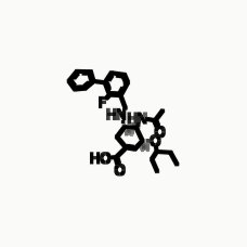 CCC(CC)O[C@@H]1C=C(C(=O)O)C[C@H](NCc2cccc(-c3ccccc3)c2F)[C@H]1NC(C)=O